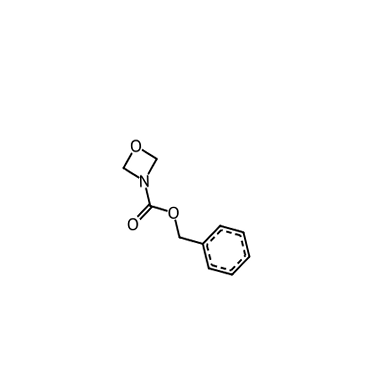 O=C(OCc1ccccc1)N1COC1